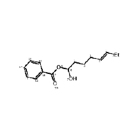 CCC=CCCCC(O)OC(=O)c1ccccc1